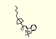 CCCCCC12CCC(C(=O)C=C3NC(C)(C)Cc4ccccc43)(CC1)CC2